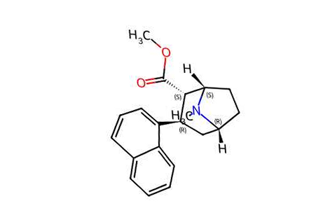 COC(=O)[C@H]1[C@H](c2cccc3ccccc23)C[C@H]2CC[C@@H]1N2C